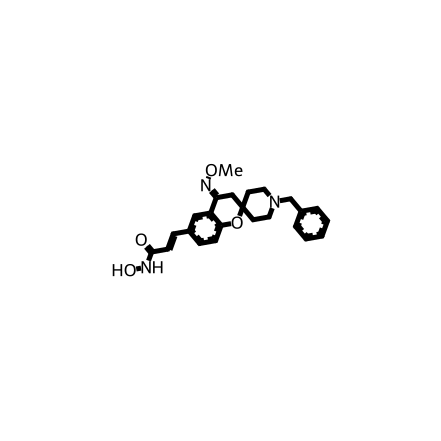 CON=C1CC2(CCN(Cc3ccccc3)CC2)Oc2ccc(/C=C/C(=O)NO)cc21